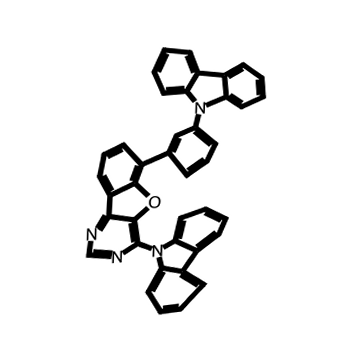 c1cc(-c2cccc3c2oc2c(-n4c5ccccc5c5ccccc54)ncnc23)cc(-n2c3ccccc3c3ccccc32)c1